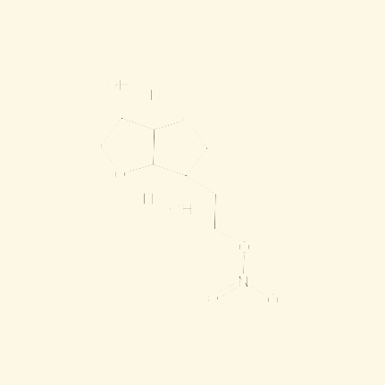 O=[N+]([O-])OCC[C@]1(O)CO[C@@H]2[C@@H](O)CO[C@@H]21